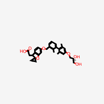 Cc1cc(OC[C@H](O)CO)cc(C)c1-c1cccc(COc2ccc3c(c2)OC2(CC2)C3CC(=O)O)c1C